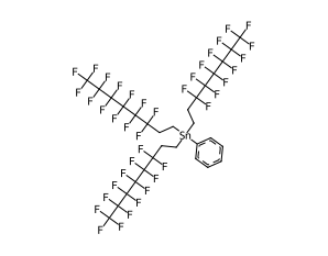 FC(F)(F)C(F)(F)C(F)(F)C(F)(F)C(F)(F)C(F)(F)C[CH2][Sn]([CH2]CC(F)(F)C(F)(F)C(F)(F)C(F)(F)C(F)(F)C(F)(F)F)([CH2]CC(F)(F)C(F)(F)C(F)(F)C(F)(F)C(F)(F)C(F)(F)F)[c]1ccccc1